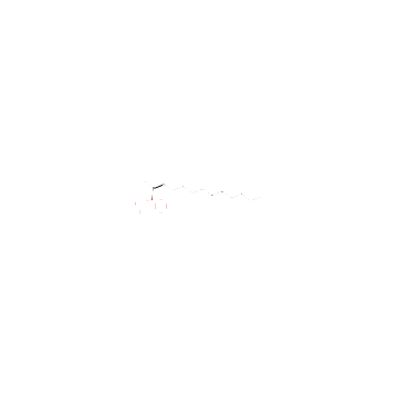 CCCCCCCCCCC=C(C)C(=O)OC